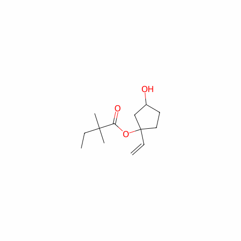 C=CC1(OC(=O)C(C)(C)CC)CCC(O)C1